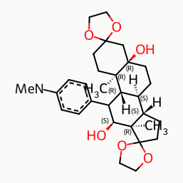 CNc1ccc(C2[C@H](O)[C@@]3(C)[C@@H](CCC34OCCO4)[C@@H]3CC[C@@]4(O)CC5(CC[C@]4(C)[C@@H]23)OCCO5)cc1